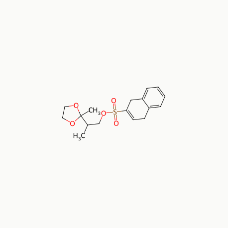 CC(COS(=O)(=O)C1=CCc2ccccc2C1)C1(C)OCCO1